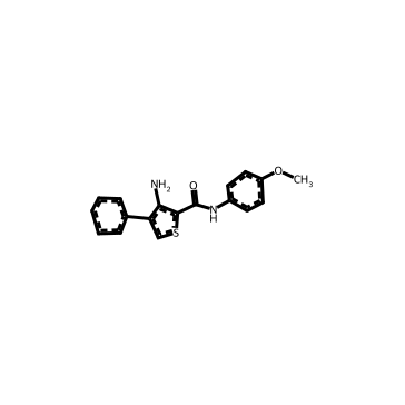 COc1ccc(NC(=O)c2scc(-c3ccccc3)c2N)cc1